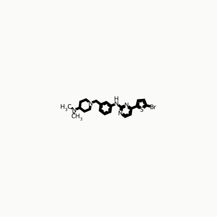 CN(C)C1CCN(Cc2cccc(Nc3nccc(-c4ccc(Br)s4)n3)c2)CC1